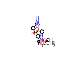 CC(C)(C)OC(=O)NC1(c2ccc(-c3c(-c4ccccc4)oc4c(-c5c[nH]nn5)cccc4c3=O)cc2)CCC1